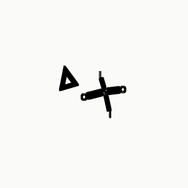 C1CC1.O=S(=O)(I)I